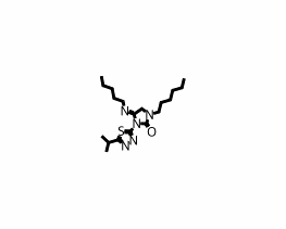 CCCCCCN1CC(=NCCCCC)N(c2nnc(C(C)C)s2)C1=O